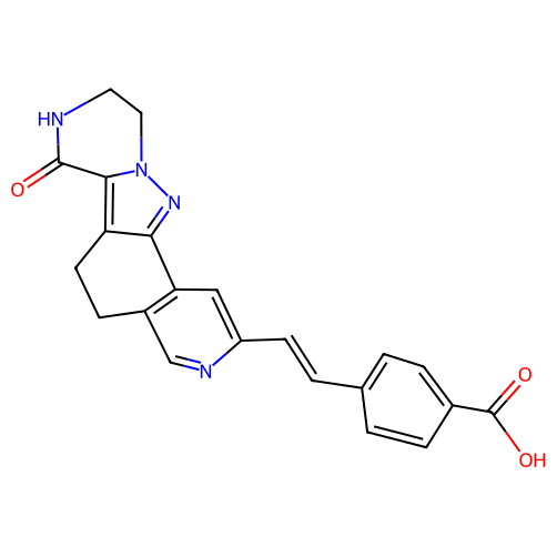 O=C(O)c1ccc(C=Cc2cc3c(cn2)CCc2c-3nn3c2C(=O)NCC3)cc1